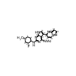 CNc1nc(N[C@@H]2CCN(C)C[C@H]2F)nc2[nH]cc(-c3ccn4nccc4n3)c12